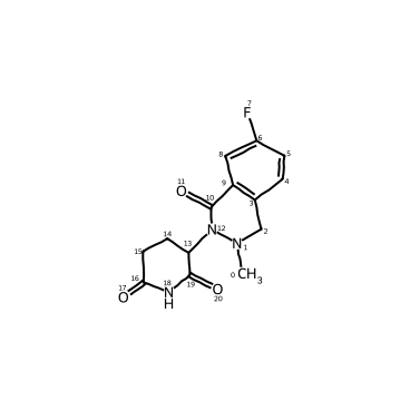 CN1Cc2ccc(F)cc2C(=O)N1C1CCC(=O)NC1=O